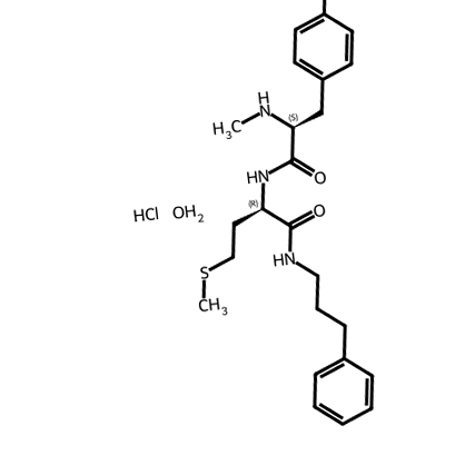 CN[C@@H](Cc1ccc(O)cc1)C(=O)N[C@H](CCSC)C(=O)NCCCc1ccccc1.Cl.O